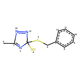 CC1=NC(S)(SCc2ccccc2)N=N1